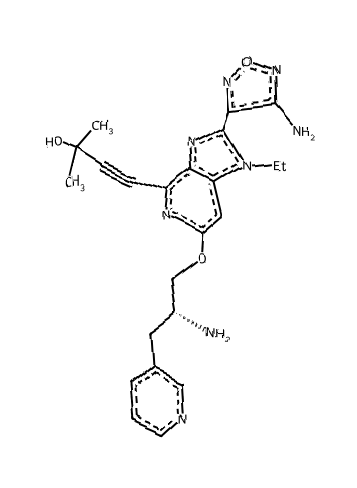 CCn1c(-c2nonc2N)nc2c(C#CC(C)(C)O)nc(OC[C@H](N)Cc3cccnc3)cc21